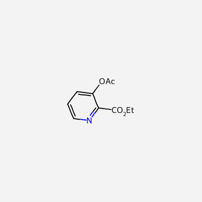 CCOC(=O)c1ncccc1OC(C)=O